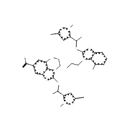 CCn1nc(C)cc1C(O)Nc1nc2cccc(OC)c2n1CCC[C@H]1COc2cc(C(N)=O)cc3nc(NC(O)c4cc(C)nn4CC)n1c23